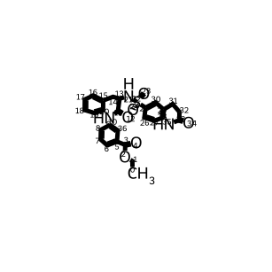 CCOC(=O)c1cccc(NC(=O)C(Cc2ccccc2)NS(=O)(=O)c2ccc3c(c2)CCC(=O)N3)c1